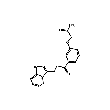 CC(=O)COc1cccc(C(=O)CCc2c[nH]c3ccccc23)c1